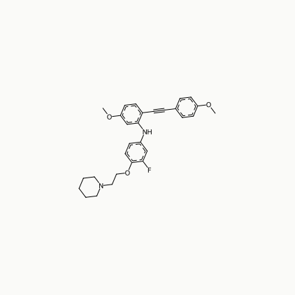 COc1ccc(C#Cc2ccc(OC)cc2Nc2ccc(OCCN3CCCCC3)c(F)c2)cc1